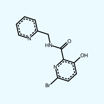 O=C(NCc1ccccn1)c1nc(Br)ccc1O